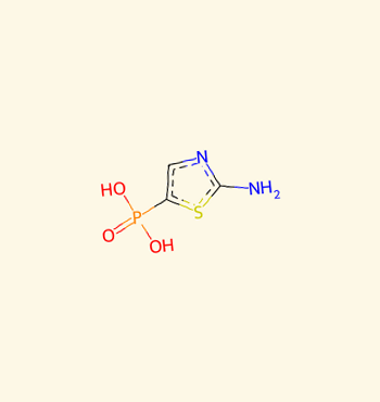 Nc1ncc(P(=O)(O)O)s1